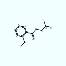 CCc1ccccc1C(=O)CCC(C)C